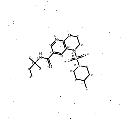 CCC(C)(C)NC(=O)c1cnc2c(c1)N(S(=O)(=O)N1CCC(C)CC1)CCO2